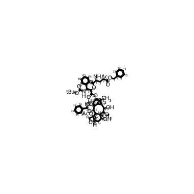 CC(=O)N[C@@H](CCC(=O)OCc1ccccc1)C(=O)O[C@@H](C(=O)O[C@H]1C[C@@]2(O)[C@@H](OC(=O)c3ccccc3)[C@@H]3[C@]4(OC(C)=O)CO[C@@H]4C[C@H](O)[C@@]3(C)C(=O)[C@H](O)C(=C1C)C2(C)C)[C@@H](NC(=O)OC(C)(C)C)c1ccccc1